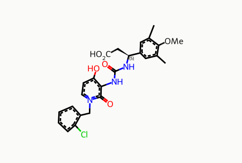 COc1c(C)cc([C@H](CC(=O)O)NC(=O)Nc2c(O)ccn(Cc3ccccc3Cl)c2=O)cc1C